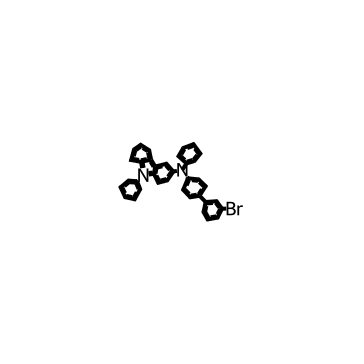 Brc1cccc(-c2ccc(N(c3ccccc3)c3ccc4c(c3)c3ccccc3n4-c3ccccc3)cc2)c1